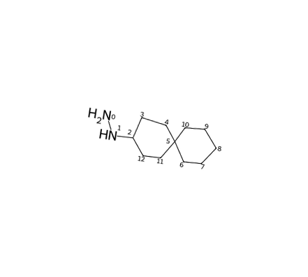 NNC1CCC2(CCCCC2)CC1